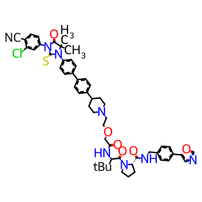 CC(C)(C)C(NC(=O)COCCN1CCC(c2ccc(-c3ccc(N4C(=S)N(c5ccc(C#N)c(Cl)c5)C(=O)C4(C)C)cc3)cc2)CC1)C(=O)N1CCC[C@H]1C(=O)NCc1ccc(-c2cnco2)cc1